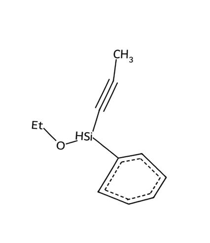 CC#C[SiH](OCC)c1ccccc1